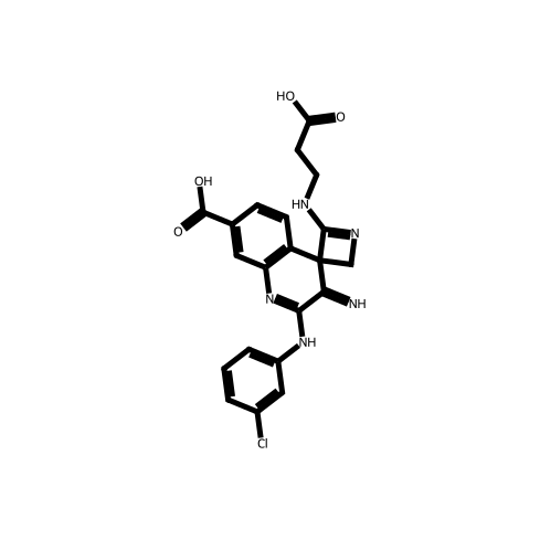 N=C1C(Nc2cccc(Cl)c2)=Nc2cc(C(=O)O)ccc2C12CN=C2NCCC(=O)O